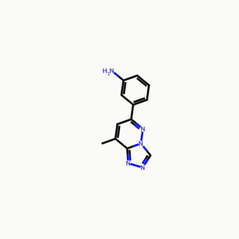 Cc1cc(-c2cccc(N)c2)nn2cnnc12